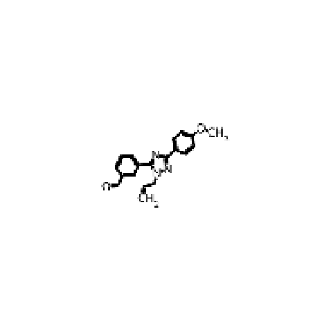 C=CCn1nc(-c2ccc(OC)cc2)nc1-c1cccc(C=O)c1